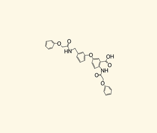 O=C(COc1ccccc1)NCc1cccc(Oc2ccc(NC(=O)COc3ccccc3)c(C(=O)O)c2)c1